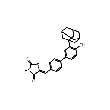 O=C1NC(=O)C(=Cc2ccc(-c3ccc(O)c(C45CC6CC(CC(C6)C4)C5)c3)cc2)S1